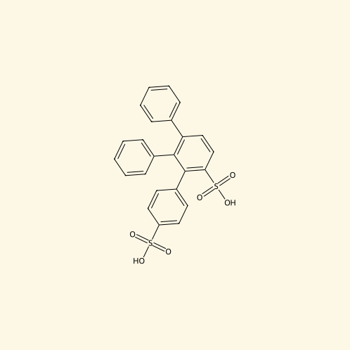 O=S(=O)(O)c1ccc(-c2c(S(=O)(=O)O)ccc(-c3ccccc3)c2-c2ccccc2)cc1